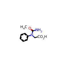 C.NC(=O)N(CC(=O)O)c1ccccc1